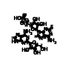 Nc1nc(C2O[C@H](CO)[C@@H](O)[C@@H]2O)nc2[nH]cnc12.Nc1nc(F)nc2c1ncn2[C@@H]1O[C@H](COP(=O)(O)O)[C@@H](O)[C@@H]1O